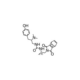 C[C@H](CN1C(=O)C2C3C=CC(O3)C2C1=O)NC(=O)NCC(Cc1ccc(O)cc1)N(C)C